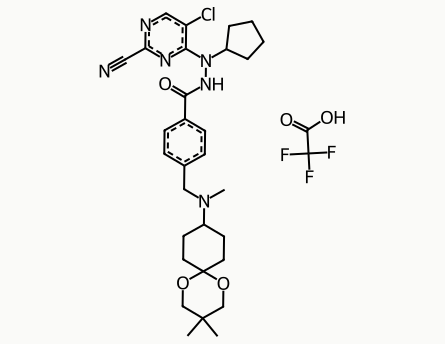 CN(Cc1ccc(C(=O)NN(c2nc(C#N)ncc2Cl)C2CCCC2)cc1)C1CCC2(CC1)OCC(C)(C)CO2.O=C(O)C(F)(F)F